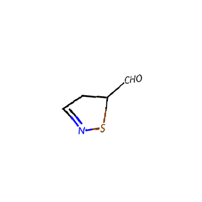 O=CC1CC=NS1